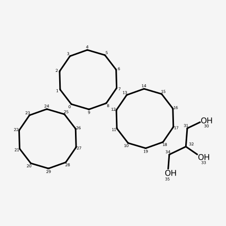 C1CCCCCCCCC1.C1CCCCCCCCC1.C1CCCCCCCCC1.OCC(O)CO